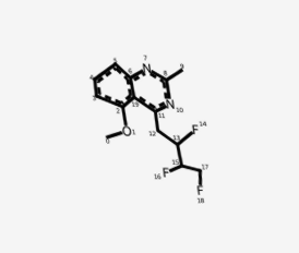 COc1cccc2nc(C)nc(CC(F)C(F)CF)c12